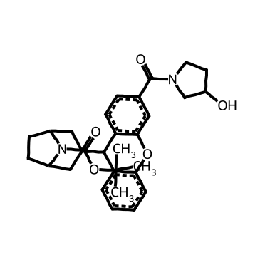 CC(C)(C)OC(=O)N1C2CCC1CC(C1c3ccccc3Oc3cc(C(=O)N4CCC(O)C4)ccc31)C2